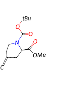 C=C1CCN(C(=O)OC(C)(C)C)[C@@H](C(=O)OC)C1